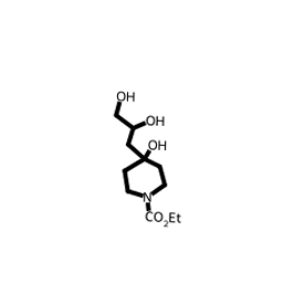 CCOC(=O)N1CCC(O)(CC(O)CO)CC1